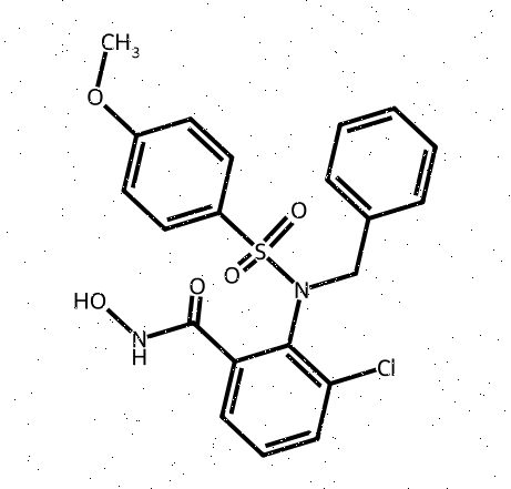 COc1ccc(S(=O)(=O)N(Cc2ccccc2)c2c(Cl)cccc2C(=O)NO)cc1